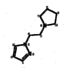 c1cnn(CCN2CCCC2)c1